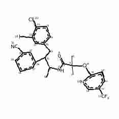 CC(NC(=O)C(C)(C)Oc1ccc(C(F)(F)F)cn1)C(Cc1ccc(Cl)c(I)c1)c1cccc(C#N)c1